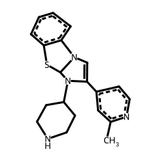 Cc1cc(C2=CN3c4ccccc4SC3N2C2CCNCC2)ccn1